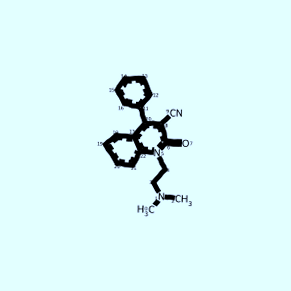 CN(C)CCn1c(=O)c(C#N)c(-c2ccccc2)c2ccccc21